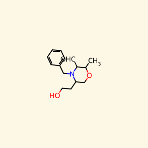 CC1OCC(CCO)N(Cc2ccccc2)C1C=O